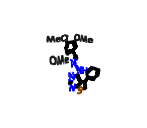 COc1cc(OC)c(OC)cc1/C=N/Nc1ncnc2scc(-c3ccccc3)c12